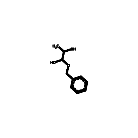 [CH2]C(O)C(O)OCc1ccccc1